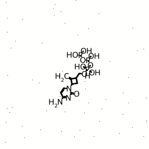 C=C1C(CO[PH](O)(O)OP(O)OP(O)O)CC1n1ccc(N)nc1=O